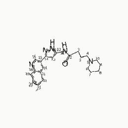 O=C(CCCN1CCCCC1)Nc1cc(-c2cnc3ccccc3c2)n[nH]1